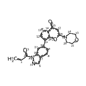 C=CC(=O)n1ncc2ccc(-c3csc4c(=O)cc(N5CCOCC5)oc34)cc21